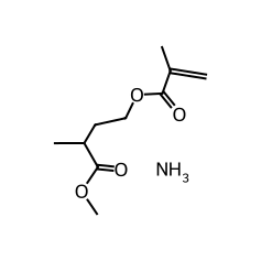 C=C(C)C(=O)OCCC(C)C(=O)OC.N